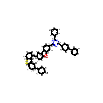 c1ccc(-c2ccc(-c3nc(-c4ccccc4)nc(-c4ccc5c(c4)oc4ccc(-c6cccc7sc8ccc(-c9ccccc9)cc8c67)cc45)n3)cc2)cc1